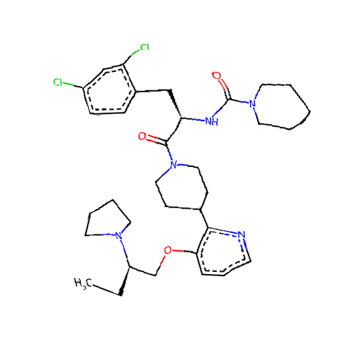 CC[C@H](COc1cccnc1C1CCN(C(=O)[C@@H](Cc2ccc(Cl)cc2Cl)NC(=O)N2CCCCC2)CC1)N1CCCC1